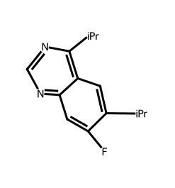 CC(C)c1cc2c(C(C)C)ncnc2cc1F